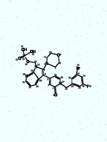 O=c1cc(-c2c(N3CCOCC3)n(COP(=O)(O)O)c3ncccc23)ccn1Cc1cc(F)cc(Br)c1